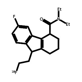 CCN(CC)C(=O)C1CCCC2=C1c1cc(F)ccc1C2CC[18F]